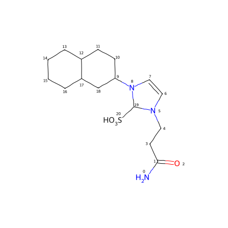 NC(=O)CCN1C=CN(C2CCC3CCCCC3C2)C1S(=O)(=O)O